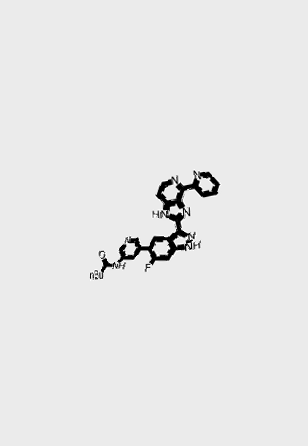 CCCCC(=O)Nc1cncc(-c2cc3c(-c4nc5c(-c6ccccn6)nccc5[nH]4)n[nH]c3cc2F)c1